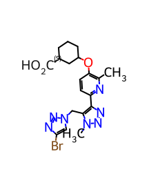 Cc1nc(-c2nnn(C)c2Cn2cc(Br)nn2)ccc1OC1CCC[C@H](C(=O)O)C1